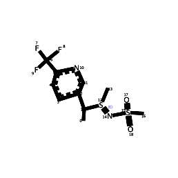 CC(c1ccc(C(F)(F)F)nc1)/S(C)=N/S(C)(=O)=O